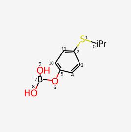 CC(C)Sc1ccc(OB(O)O)cc1